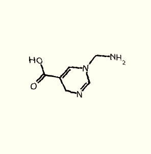 NCN1C=NCC(C(=O)O)=C1